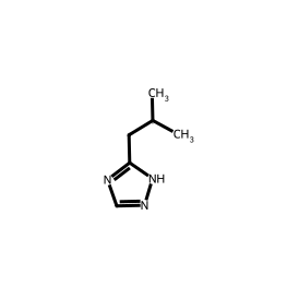 C[C](C)Cc1ncn[nH]1